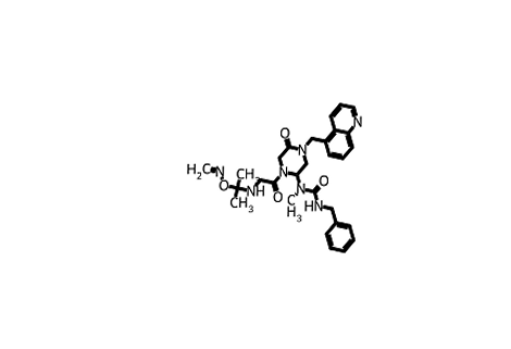 C=NOC(C)(C)NCC(=O)N1CC(=O)N(Cc2cccc3ncccc23)CC1N(C)C(=O)NCc1ccccc1